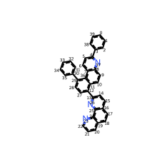 c1ccc(-c2ccc3c(ccc4c(-c5ccc6ccc7cccnc7c6n5)ccc(-c5ccccc5)c43)n2)cc1